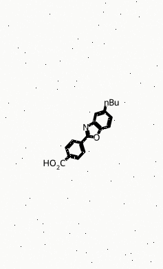 CCCCc1ccc2oc(-c3ccc(C(=O)O)cc3)nc2c1